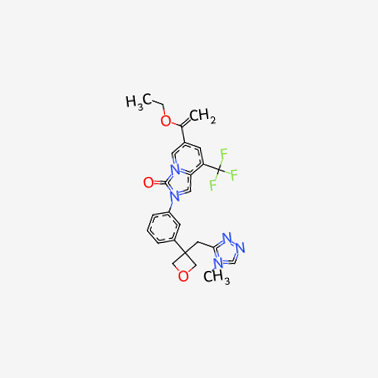 C=C(OCC)c1cc(C(F)(F)F)c2cn(-c3cccc(C4(Cc5nncn5C)COC4)c3)c(=O)n2c1